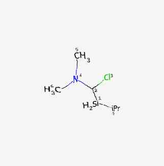 CC(C)[SiH2]C(Cl)N(C)C